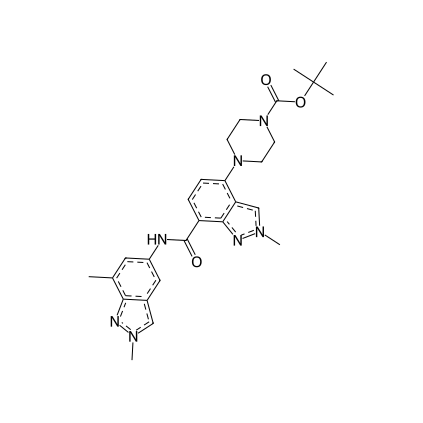 Cc1cc(NC(=O)c2ccc(N3CCN(C(=O)OC(C)(C)C)CC3)c3cn(C)nc23)cc2cn(C)nc12